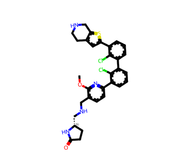 COc1nc(-c2cccc(-c3cccc(-c4cc5c(s4)CNCC5)c3Cl)c2Cl)ccc1CNC[C@@H]1CCC(=O)N1